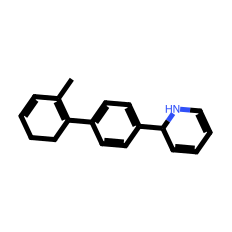 CC1=C(c2ccc(C3C=CC=CN3)cc2)CCC=C1